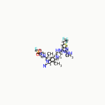 CC[C@@H](Cn1c(C#N)cc2c(C)c(CN3CCC(Nc4nc(NC)nc5sc(CC(F)(F)F)cc45)CC3)ccc21)N1CCN(S(=O)(=O)CF)CC1